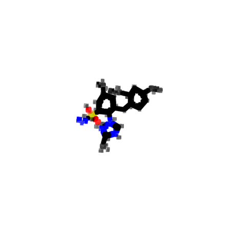 COc1ccc(Cc2cc([N+](=O)[O-])cc(S(N)(=O)=O)c2-n2cnc(C(F)(F)F)n2)c(OC)c1